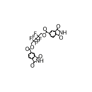 O=C(OCC(F)(F)C(F)(F)C(F)(F)COC(=O)c1ccc2c(c1)C(=O)NC2=O)c1ccc2c(c1)C(=O)NC2=O